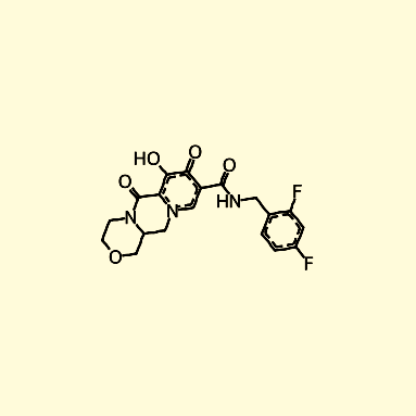 O=C(NCc1ccc(F)cc1F)c1cn2c(c(O)c1=O)C(=O)N1CCOCC1C2